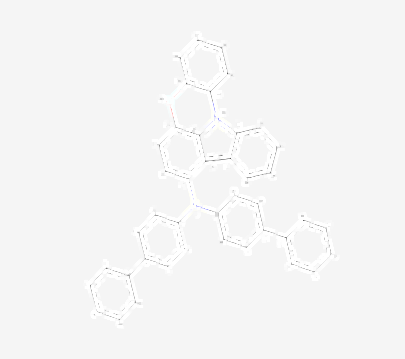 c1ccc(-c2ccc(N(c3ccc(-c4ccccc4)cc3)c3ccc4c5c3c3ccccc3n5-c3ccccc3O4)cc2)cc1